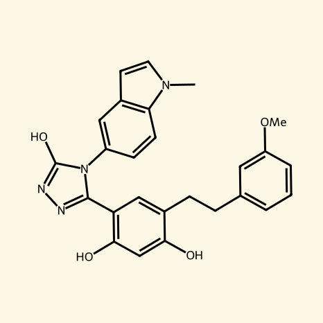 COc1cccc(CCc2cc(-c3nnc(O)n3-c3ccc4c(ccn4C)c3)c(O)cc2O)c1